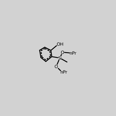 CCCO[Si](C)(OCCC)c1ccccc1O